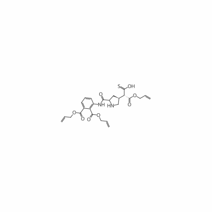 C=CCOC(=O)c1cccc(NC(=O)C2C[C@@H]([C@@H](C(=O)OCC=C)C(O)=S)CN2)c1C(=O)OCC=C